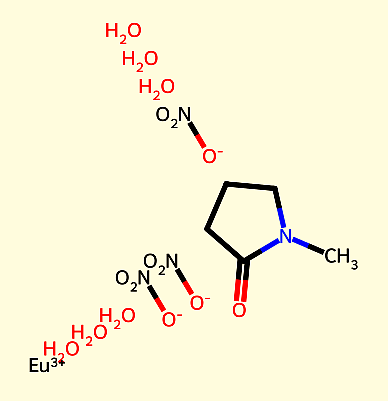 CN1CCCC1=O.O.O.O.O.O.O.O=[N+]([O-])[O-].O=[N+]([O-])[O-].O=[N+]([O-])[O-].[Eu+3]